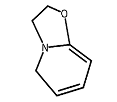 C1=CCN2CCOC2=C1